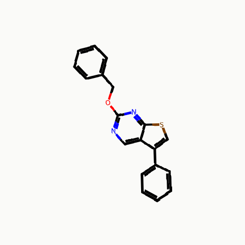 c1ccc(COc2ncc3c(-c4ccccc4)csc3n2)cc1